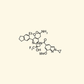 CCOc1c(CC(N)=O)cc([C@@](O)(CNC(=O)c2cc(OC)c3nn(C4CC4)cc3c2)C(F)(F)F)nc1-c1ccc2c(c1)CCC2